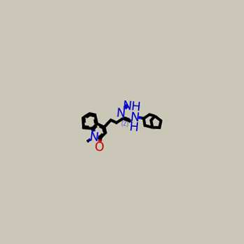 Cn1c(=O)cc(CC/C(=C/NC2CC3CCC(C3)C2)N=N)c2ccccc21